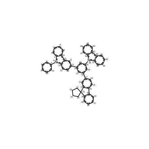 c1ccc(-n2c3ccccc3c3cc(-c4cc(-c5ccc6c(c5)C5(CCCC5)c5ccccc5-6)cc(-n5c6ccccc6c6ccccc65)c4)ccc32)cc1